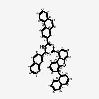 c1ccc2cc(C3N=C(c4cccc5oc6c(-c7cccc8ccccc78)cccc6c45)N=C(c4ccc5c(ccc6ccccc65)c4)N3)ccc2c1